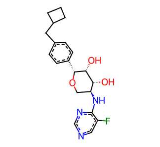 O[C@@H]1[C@H](O)[C@@H](Nc2ncncc2F)CO[C@@H]1c1ccc(CC2CCC2)cc1